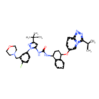 CC(C)c1nnc2ccc(OC3CCC(NC(=O)Nc4cc(C(C)(C)C)nn4-c4ccc(F)c(CN5CCOCC5)c4)c4ccccc43)cn12